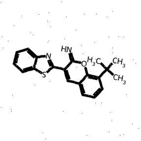 CC(C)(C)c1cccc2cc(-c3nc4ccccc4s3)c(=N)oc12